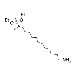 CCO[Si](C)(OCC)C(C)CCCCCCCCCCCCN